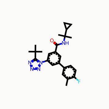 Cc1cc(-c2cc(C(=O)NC(C)(C)C3CC3)cc(-n3nnnc3C(C)(C)C)c2)ccc1F